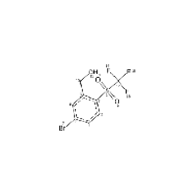 O=S(=O)(c1ccc(Br)cc1CO)C(F)(F)F